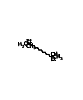 CCC(C)(C)CCCC=CCCCCCCCC(C)(C)CC